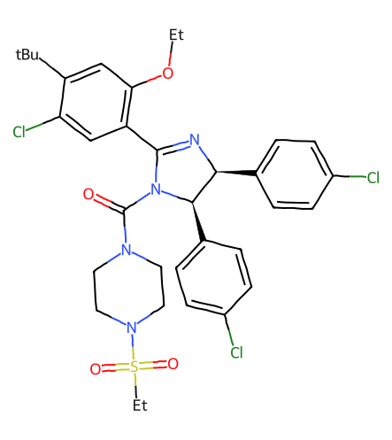 CCOc1cc(C(C)(C)C)c(Cl)cc1C1=N[C@@H](c2ccc(Cl)cc2)[C@@H](c2ccc(Cl)cc2)N1C(=O)N1CCN(S(=O)(=O)CC)CC1